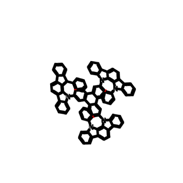 c1ccc(C2c3ccccc3-c3ccc4c5ccccc5n(-c5ccc6c(c5)c5ccc(-n7c8ccccc8c8ccc9c%10ccccc%10n(-c%10ccccc%10)c9c87)cc5c5ccc(-n7c8ccccc8c8ccc9c%10ccccc%10n(-c%10ccccc%10)c9c87)cc65)c4c32)cc1